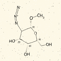 CO[C@@H]1O[C@H](CO)[C@H](O)[C@H](O)C1N=[N+]=[N-]